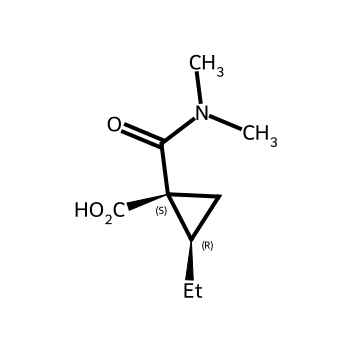 CC[C@@H]1C[C@@]1(C(=O)O)C(=O)N(C)C